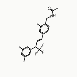 CC(=O)NCc1ccc(/C=C/C(c2cc(C)cc(C)c2)C(F)(F)F)cc1C